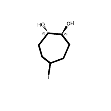 O[C@H]1CCC(I)CC[C@@H]1O